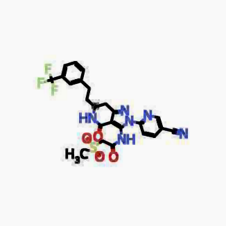 CS(=O)(=O)CC(=O)Nc1c2c(nn1-c1ccc(C#N)cn1)C[C@H](CCc1cccc(C(F)(F)F)c1)NC2=O